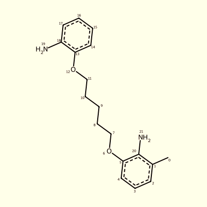 Cc1cccc(OCCCCCOc2ccccc2N)c1N